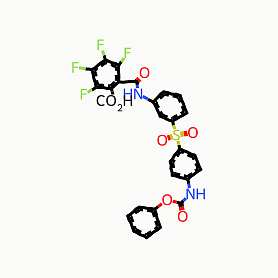 O=C(Nc1ccc(S(=O)(=O)c2cccc(NC(=O)c3c(F)c(F)c(F)c(F)c3C(=O)O)c2)cc1)Oc1ccccc1